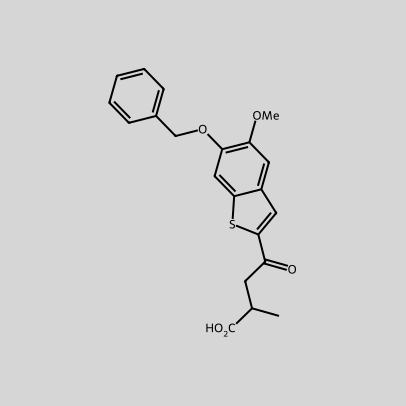 COc1cc2cc(C(=O)CC(C)C(=O)O)sc2cc1OCc1ccccc1